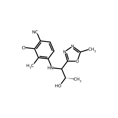 Cc1nnc(C(Nc2ccc(C#N)c(Cl)c2C)[C@H](C)O)o1